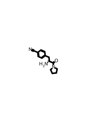 N#Cc1ccc(C[C@@H](N)C(=O)N2CCCC2)cc1